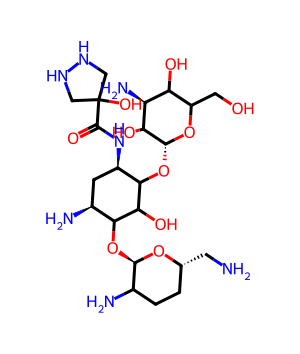 NC[C@@H]1CCC(N)[C@@H](OC2C(O)C(O[C@H]3OC(CO)C(O)[C@H](N)C3O)[C@H](NC(=O)C3(O)CNNC3)C[C@@H]2N)O1